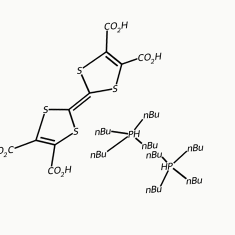 CCCC[PH](CCCC)(CCCC)CCCC.CCCC[PH](CCCC)(CCCC)CCCC.O=C(O)C1=C(C(=O)O)SC(=C2SC(C(=O)O)=C(C(=O)O)S2)S1